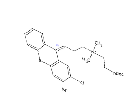 CCCCCCCCCCCC[N+](C)(C)CC/C=C1/c2ccccc2Sc2ccc(Cl)cc21.[Br-]